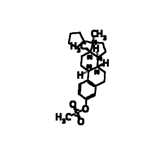 C[C@]12CC[C@@H]3c4ccc(OS(C)(=O)=O)cc4CC[C@H]3[C@@H]1CC[C@]2(C)C1CCCC1